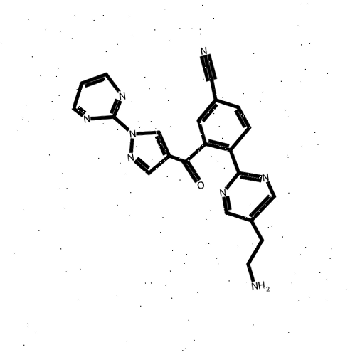 N#Cc1ccc(-c2ncc(CCN)cn2)c(C(=O)c2cnn(-c3ncccn3)c2)c1